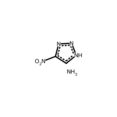 N.O=[N+]([O-])c1c[nH]nn1